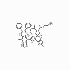 Cc1cc2c(s1)-c1sc(-c3c4nsnc4c(C)c4nc(-c5ccccc5)c(-c5ccccc5)nc34)cc1C(CCC(C)CCCC(C)C)(CCC(C)CCCC(C)C)O2